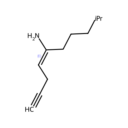 C#CC/C=C(/N)CCCC(C)C